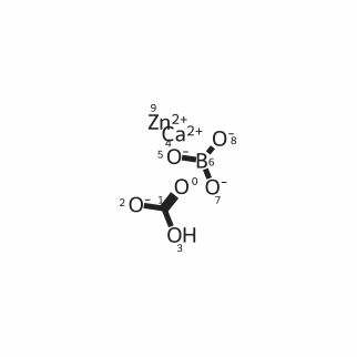 O=C([O-])O.[Ca+2].[O-]B([O-])[O-].[Zn+2]